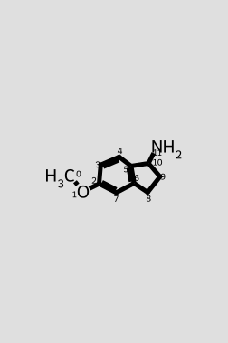 COc1ccc2c(c1)CCC2N